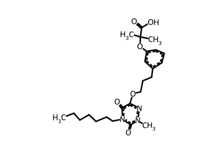 CCCCCCCn1c(=O)c(OCCCc2cccc(OC(C)(C)C(=O)O)c2)nn(C)c1=O